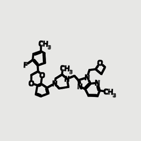 Cc1ccc(C2COc3cccc(N4CCN(Cc5nc6ccc(C)nc6n5CC5CCO5)C(C)C4)c3O2)c(F)c1